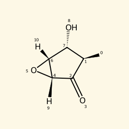 C[C@H]1C(=O)[C@@H]2O[C@@H]2[C@@H]1O